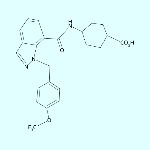 O=C(NC1CCC(C(=O)O)CC1)c1cccc2cnn(Cc3ccc(OC(F)(F)F)cc3)c12